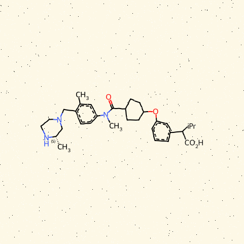 Cc1cc(N(C)C(=O)C2CCC(Oc3cccc(C(C(=O)O)C(C)C)c3)CC2)ccc1CN1CCN[C@@H](C)C1